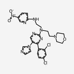 O=[N+]([O-])c1ccc(NCCN(CCN2CCOCC2)c2ncc(-n3ccnc3)c(-c3ccc(Cl)cc3Cl)n2)nc1